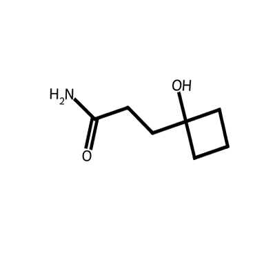 NC(=O)CCC1(O)CCC1